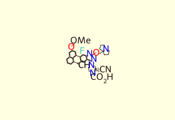 C#Cc1cccc2cc(OCOC)cc(-c3ccc4c(N5CCN(C(=O)O)[C@@H](CC#N)C5)nc(OCC56CCCN5CCC6)nc4c3F)c12